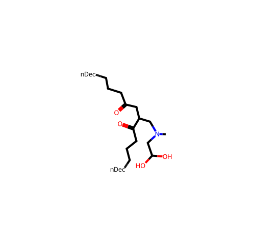 CCCCCCCCCCCCCC(=O)CC(CN(C)CC(O)O)C(=O)CCCCCCCCCCCCC